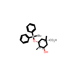 C[C@@H]1[C@H](O)C[C@@](C)(C(=O)O)C[C@H]1O[Si](c1ccccc1)(c1ccccc1)C(C)(C)C